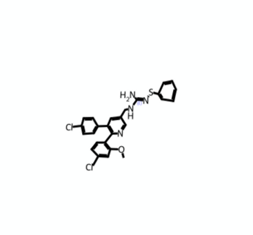 COc1cc(Cl)ccc1-c1ncc(CN/C(N)=N/Sc2ccccc2)cc1-c1ccc(Cl)cc1